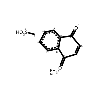 CS(=O)(=O)O.O=C1C=CC(=O)c2ccccc21.P